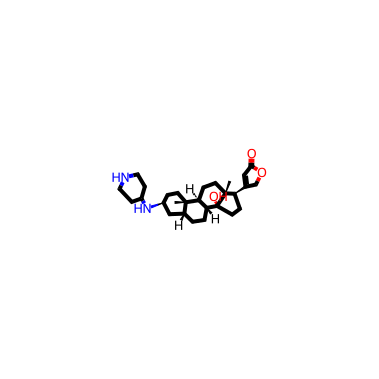 C[C@]12CC[C@H](NC3CCNCC3)C[C@H]1CC[C@@H]1[C@@H]2CC[C@]2(C)[C@@H](C3=CC(=O)OC3)CC[C@]12O